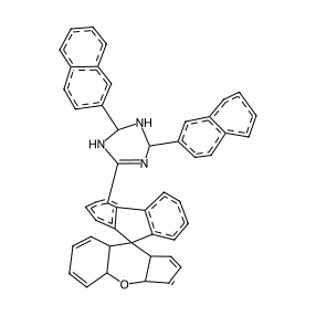 C1=CC2OC3C=CC=CC3C3(c4ccccc4-c4c(C5=NC(c6ccc7ccccc7c6)NC(c6ccc7ccccc7c6)N5)cccc43)C2C=C1